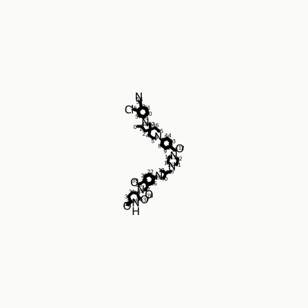 CC1CC2(CCN(c3ccc(C(=O)N4CCN(CC5CN(c6ccc7c(c6)C(=O)N(C6CCC(=O)NC6=O)C7=O)C5)CC4)cc3)CC2)CN1c1ccc(C#N)c(Cl)c1